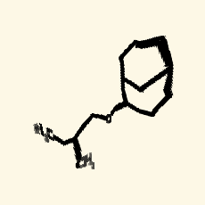 CC(C)COC1CCC2=C=CCC1C2